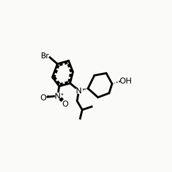 CC(C)CN(c1ccc(Br)cc1[N+](=O)[O-])[C@H]1CC[C@@H](O)CC1